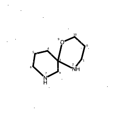 C1CNC2(CCCNC2)OC1